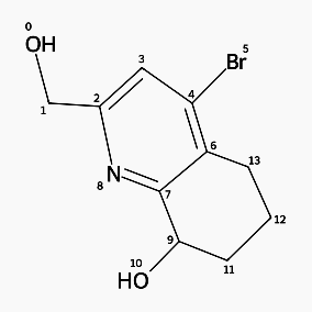 OCc1cc(Br)c2c(n1)C(O)CCC2